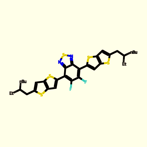 CCCCC(CC)Cc1cc2sc(-c3c(F)c(F)c(-c4cc5sc(CC(CC)CCCC)cc5s4)c4nsnc34)cc2s1